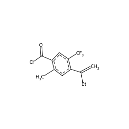 C=C(CC)c1cc(C)c(C(=O)Cl)cc1C(F)(F)F